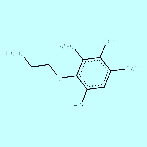 COc1cc(O)c(SCCC(=O)O)c(OC)c1O